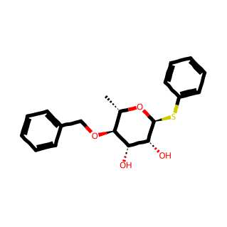 C[C@@H]1O[C@@H](Sc2ccccc2)[C@H](O)[C@H](O)[C@H]1OCc1ccccc1